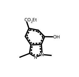 CCOC(=O)c1cc(O)c2c(c1)c(C)nn2C